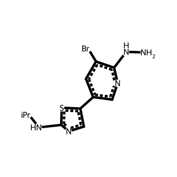 CC(C)Nc1ncc(-c2cnc(NN)c(Br)c2)s1